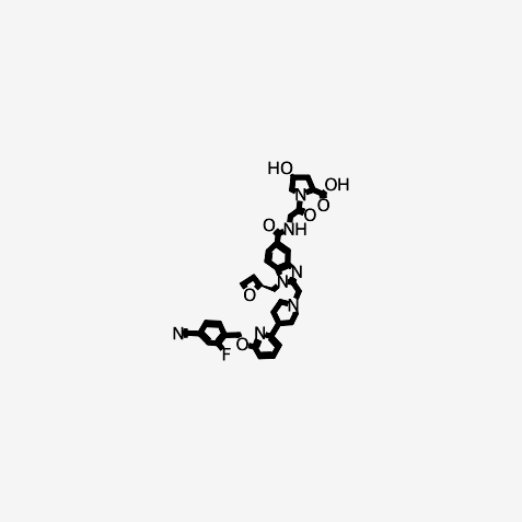 N#Cc1ccc(COc2cccc(C3CCN(Cc4nc5cc(C(=O)NCC(=O)N6C[C@@H](O)CC6C(=O)O)ccc5n4C[C@@H]4CCO4)CC3)n2)c(F)c1